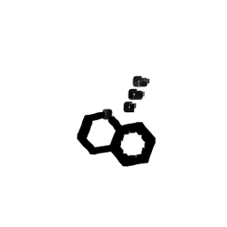 C1=COc2ccccc2C1.[Co].[Co].[Cr]